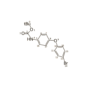 CC(C)(C)OC(=O)Nc1ccc(Oc2ccc(Br)cc2)cc1